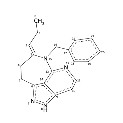 CCC=C1CCc2n[nH]c3ccnc(c23)N1Cc1ccccc1